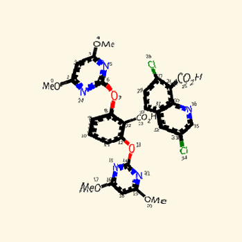 COc1cc(OC)nc(Oc2cccc(Oc3nc(OC)cc(OC)n3)c2C(=O)O)n1.O=C(O)c1c(Cl)ccc2cc(Cl)cnc12